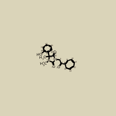 CN1C(=O)N(CC(=O)C2=CC=CC=CC2)C(=O)C1(C)c1ccccc1O